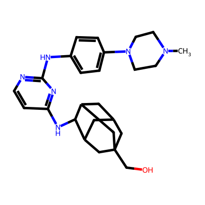 CN1CCN(c2ccc(Nc3nccc(NC4C5CC6CC4CC(CO)(C6)C5)n3)cc2)CC1